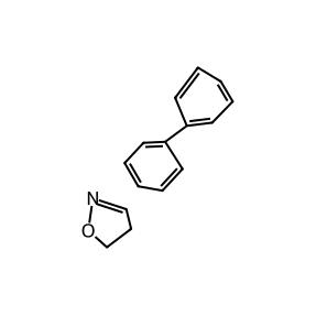 C1=NOCC1.c1ccc(-c2ccccc2)cc1